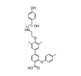 Cc1ccc(Oc2cc(-c3cc(C)c(OCCN[C@H](C)[C@@H](O)c4ccc(O)cc4)c(C)c3)ccc2C(=O)O)cc1